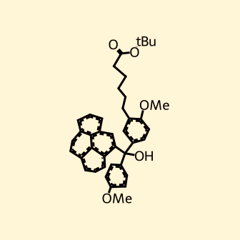 COc1ccc(C(O)(c2ccc(OC)c(CCCCCC(=O)OC(C)(C)C)c2)c2cc3cccc4ccc5cccc2c5c43)cc1